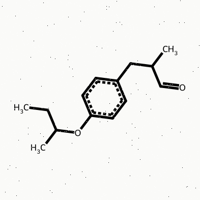 CCC(C)Oc1ccc(CC(C)C=O)cc1